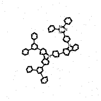 c1ccc(-c2cc(-c3ccccc3)cc(-c3ccc4c(c3)c3cc(-c5cc(-c6ccccc6)cc(-c6ccccc6)c5)ccc3n4-c3ccc(-c4ccc5c6ccccc6n(-c6ccc(-c7nc(-c8ccccc8)nc(-c8ccccc8)n7)cc6)c5c4)cc3)c2)cc1